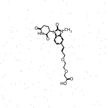 Cn1c(=O)n(C2CCC(=O)NC2=O)c2ccc(/C=C/COCCOCC(=O)O)cc21